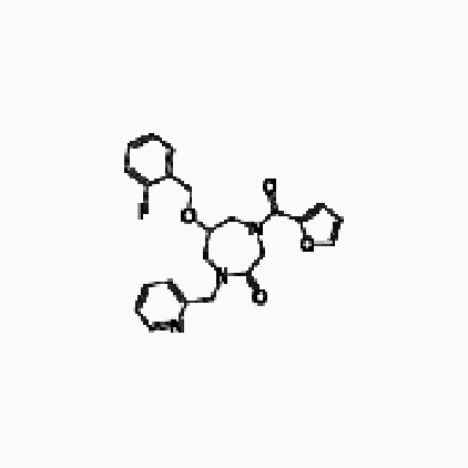 O=C1CN(C(=O)c2ccco2)CC(OCc2ccccc2F)CN1Cc1ccccn1